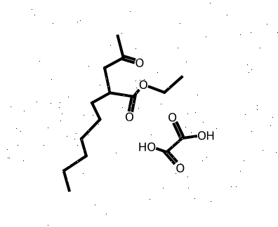 CCCCCCC(CC(C)=O)C(=O)OCC.O=C(O)C(=O)O